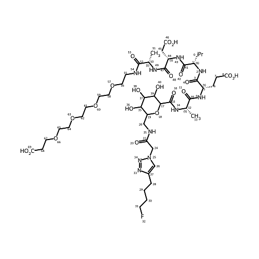 CC(C)[C@H](NC(=O)[C@H](CCC(=O)O)NC(=O)[C@H](C)NC(=O)C1OC(CNC(=O)Cn2cc(CCCCF)nn2)C(O)C(O)C1O)C(=O)N[C@@H](CC(=O)O)C(=O)N[C@@H](C)C(=O)NCCOCCOCCOCCOCCC(=O)O